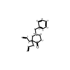 C=CCC1(CC=C)CN(Cc2ccccc2)CCC1=O